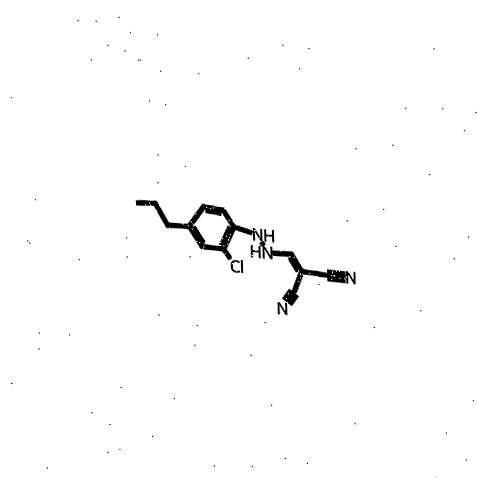 CCCc1ccc(NNC=C(C#N)C#N)c(Cl)c1